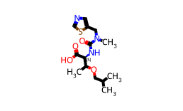 CC(C)COC(C)[C@H](NC(=O)N(C)Cc1cncs1)C(=O)O